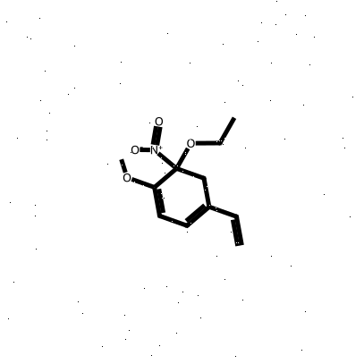 C=CC1=CC=C(OC)C(OCC)([N+](=O)[O-])C1